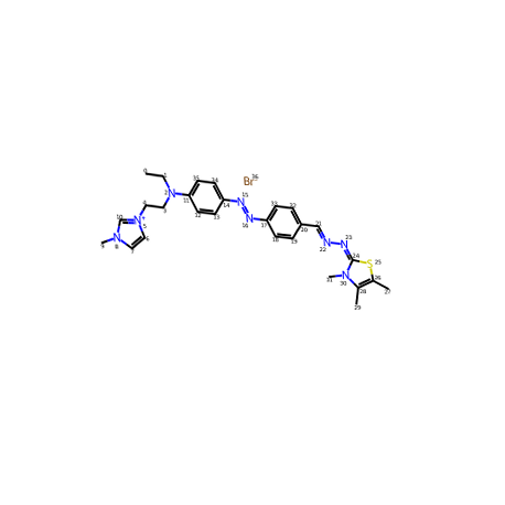 CCN(CC[n+]1ccn(C)c1)c1ccc(N=Nc2ccc(C=NN=c3sc(C)c(C)n3C)cc2)cc1.[Br-]